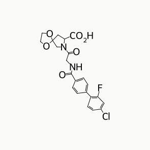 O=C(NCC(=O)N1CC2(CC1C(=O)O)OCCO2)c1ccc(-c2ccc(Cl)cc2F)cc1